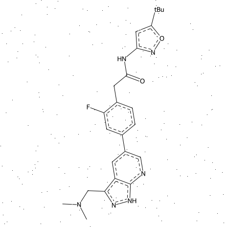 CN(C)Cc1n[nH]c2ncc(-c3ccc(CC(=O)Nc4cc(C(C)(C)C)on4)c(F)c3)cc12